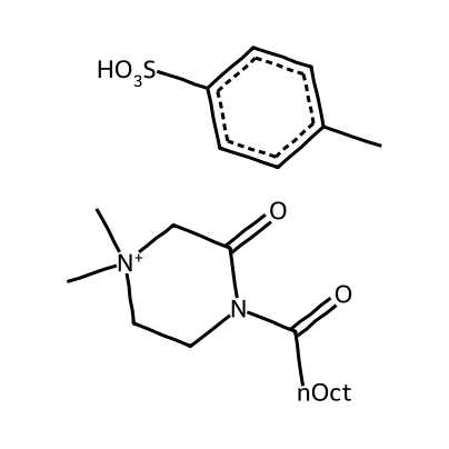 CCCCCCCCC(=O)N1CC[N+](C)(C)CC1=O.Cc1ccc(S(=O)(=O)O)cc1